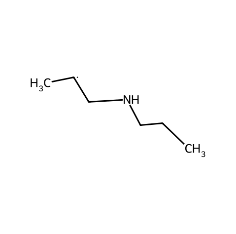 C[CH]CNCCC